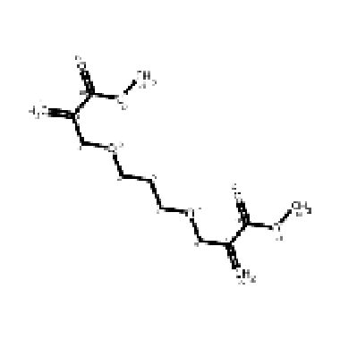 C=C(COCCCOCC(=C)C(=O)OC)C(=O)OC